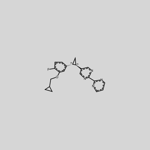 Fc1ccc([C@@H]2C[C@H]2c2cnc(-c3ncccn3)nc2)cc1OCC1CC1